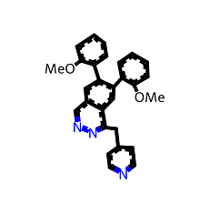 COc1ccccc1-c1cc2cnnc(Cc3ccncc3)c2cc1-c1ccccc1OC